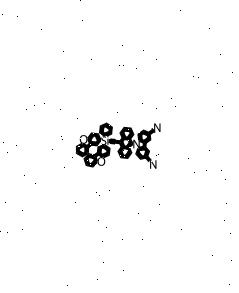 N#Cc1ccc2c(c1)c1cc(C#N)ccc1n2-c1c2ccccc2c(C#C[Si](c2ccccc2)(c2ccc3oc4ccccc4c3c2)c2ccc3oc4ccccc4c3c2)c2ccccc12